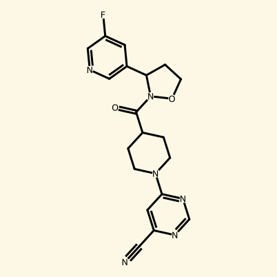 N#Cc1cc(N2CCC(C(=O)N3OCCC3c3cncc(F)c3)CC2)ncn1